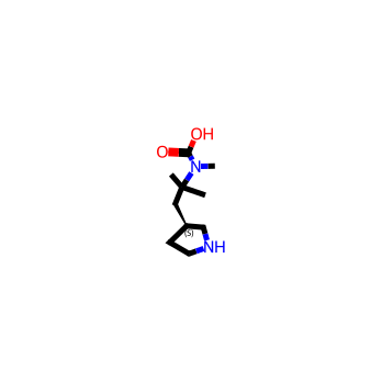 CN(C(=O)O)C(C)(C)C[C@@H]1CCNC1